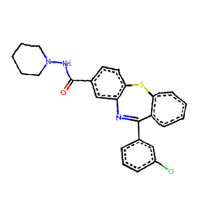 O=C(NN1CCCCC1)c1ccc2c(c1)N=C(c1cccc(Cl)c1)c1ccccc1S2